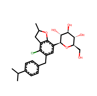 CC1Cc2c(Cl)c(Cc3ccc(C(C)C)cc3)cc([C@@H]3O[C@H](CO)[C@@H](O)[C@H](O)[C@H]3O)c2O1